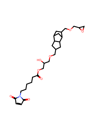 O=C(CCCCCN1C(=O)C=CC1=O)OCC(O)COCC1CC2C3CC(COCC4CO4)C(C3)C2C1